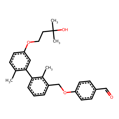 Cc1ccc(OCCC(C)(C)O)cc1-c1cccc(COc2ccc(C=O)cc2)c1C